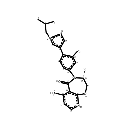 CC(C)Cn1cc(-c2ccc(N3C(=O)c4c(N)ncnc4OC[C@H]3C)cc2Cl)cn1